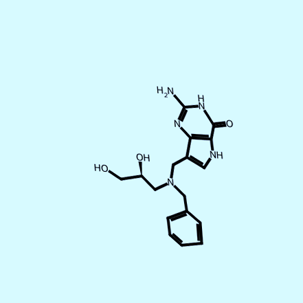 Nc1nc2c(CN(Cc3ccccc3)C[C@H](O)CO)c[nH]c2c(=O)[nH]1